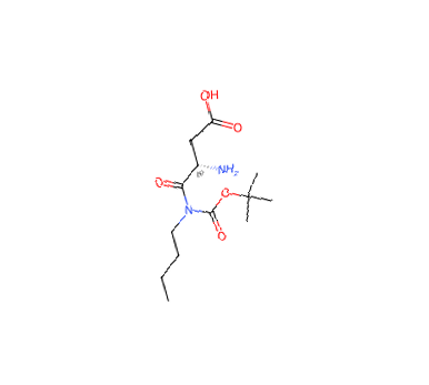 CCCCN(C(=O)OC(C)(C)C)C(=O)[C@@H](N)CC(=O)O